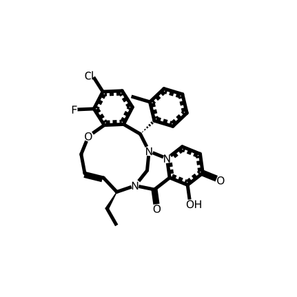 CC[C@H]1/C=C/COc2c(ccc(Cl)c2F)[C@H](c2ccccc2C)N2CN1C(=O)c1c(O)c(=O)ccn12